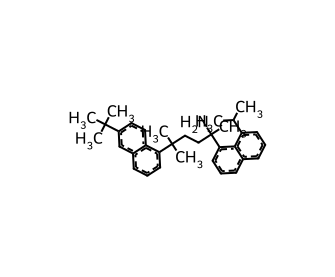 CC(C)c1cccc2cccc(C(C)(N)CCC(C)(C)c3cccc4cc(C(C)(C)C)ccc34)c12